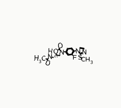 CSc1nccn1-c1ccc(N2C[C@H](CNC(C)=O)OC2=O)cc1F